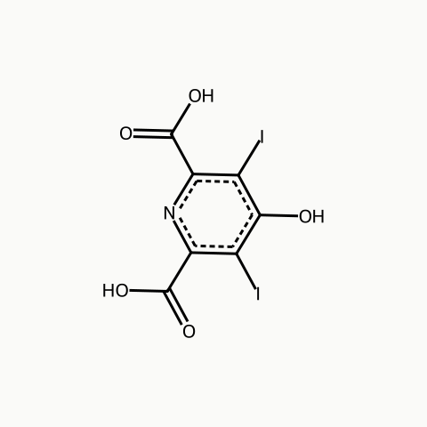 O=C(O)c1nc(C(=O)O)c(I)c(O)c1I